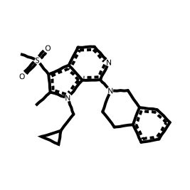 Cc1c(S(C)(=O)=O)c2ccnc(N3CCc4ccccc4C3)c2n1CC1CC1